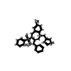 C[C@@H](c1ccccc1)[C@@H]1CN(Cc2c[nH]cn2)c2ccc(C#N)cc2CN1S(=O)(=O)c1ccccc1